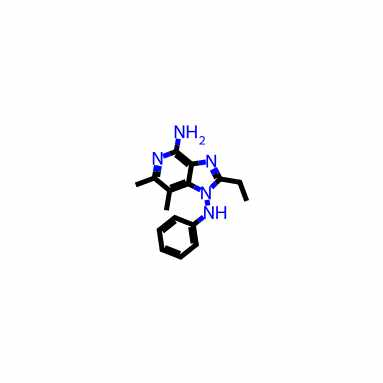 CCc1nc2c(N)nc(C)c(C)c2n1Nc1ccccc1